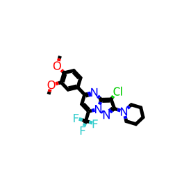 COc1ccc(-c2cc(C(F)(F)F)n3nc(N4CCCCC4)c(Cl)c3n2)cc1OC